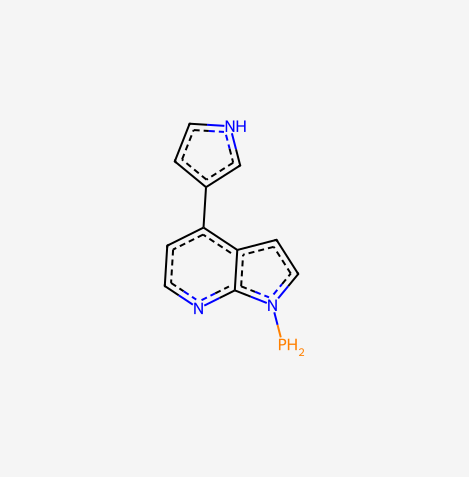 Pn1ccc2c(-c3cc[nH]c3)ccnc21